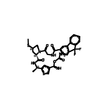 CS[C@@H]1C[C@@H](C(=O)N[C@H](C)c2cc(C(=N)OC(N)=O)cs2)N(C(=O)CNC(=O)c2ccc3c(c2)-c2ccccc2C3(F)F)C1